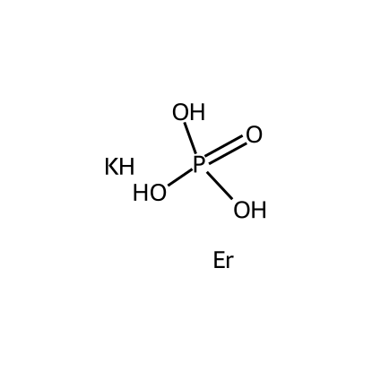 O=P(O)(O)O.[Er].[KH]